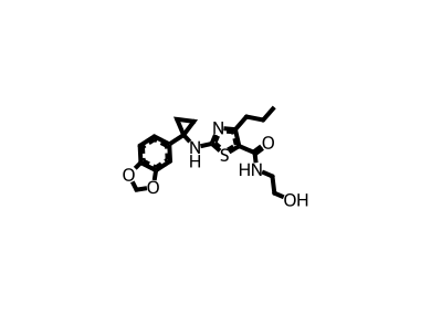 CCCc1nc(NC2(c3ccc4c(c3)OCO4)CC2)sc1C(=O)NCCO